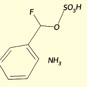 N.O=S(=O)(O)OC(F)c1ccccc1